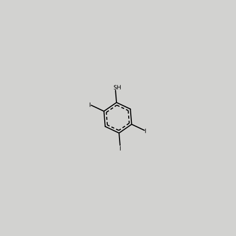 Sc1cc(I)c(I)cc1I